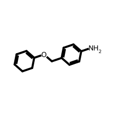 Nc1ccc(COC2=CC=CCC2)cc1